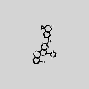 O=c1c2cnc(Nc3ccc4c(c3)CNCC43CC3)nc2c(-c2nccs2)nn1-c1c(Cl)cccc1Cl